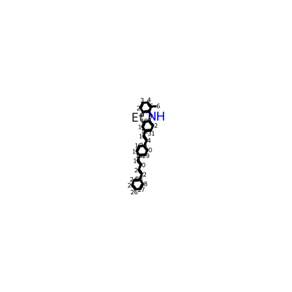 CCc1cccc(C)c1Nc1ccc(/C=C/c2ccc(/C=C/C=C/c3ccccc3)cc2)cc1